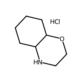 C1CCC2OCCNC2C1.Cl